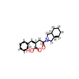 O=C(O)/C(=C\c1ccccc1)CC(=O)N1CC2=CCCCC2C1